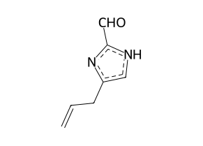 C=CCc1c[nH]c(C=O)n1